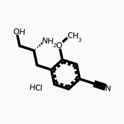 COc1cc(C#N)ccc1C[C@@H](N)CO.Cl